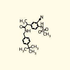 CC(C(=O)NCc1ccc(C(C)(C)C)cc1)c1ccc(NS(C)(=O)=O)c(C#N)c1